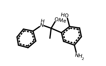 COC(C)(Nc1ccccc1)c1cc(N)ccc1O